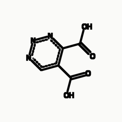 O=C(O)c1cnnnc1C(=O)O